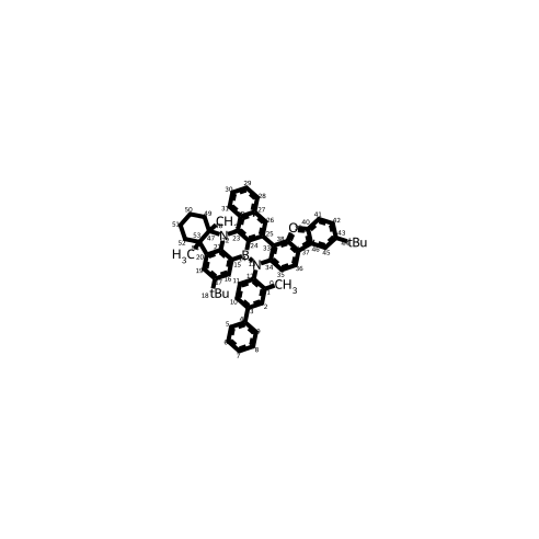 Cc1cc(-c2ccccc2)ccc1N1B2c3cc(C(C)(C)C)cc4c3N(c3c2c(cc2ccccc32)-c2c1ccc1c2oc2ccc(C(C)(C)C)cc21)C1(C)CCCCC41C